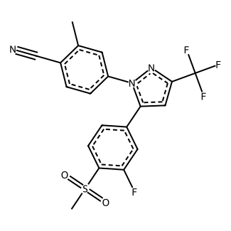 Cc1cc(-n2nc(C(F)(F)F)cc2-c2ccc(S(C)(=O)=O)c(F)c2)ccc1C#N